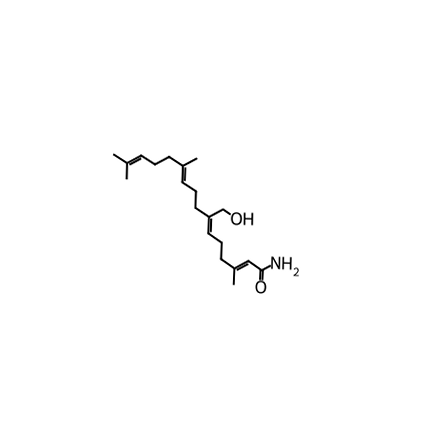 CC(C)=CCCC(C)=CCCC(=CCCC(C)=CC(N)=O)CO